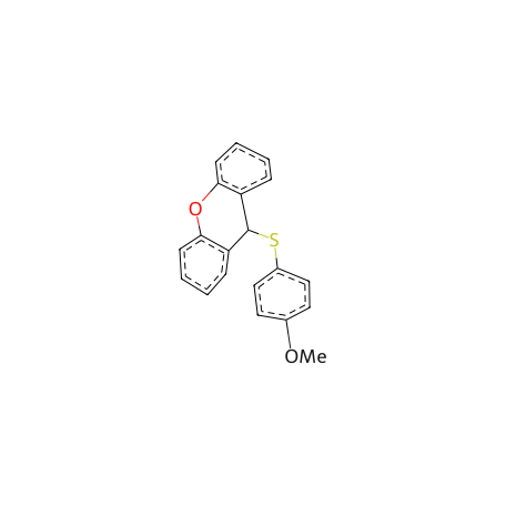 COc1ccc(SC2c3ccccc3Oc3ccccc32)cc1